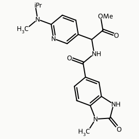 COC(=O)C(NC(=O)c1ccc2c(c1)[nH]c(=O)n2C)c1ccc(N(C)C(C)C)nc1